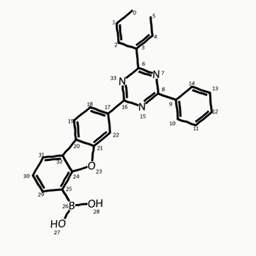 C/C=C\C(=C/C)c1nc(-c2ccccc2)nc(-c2ccc3c(c2)oc2c(B(O)O)cccc23)n1